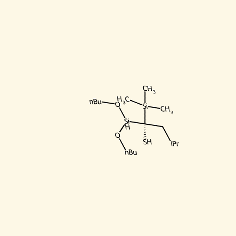 CCCCO[SiH](OCCCC)[C@](S)(CC(C)C)[Si](C)(C)C